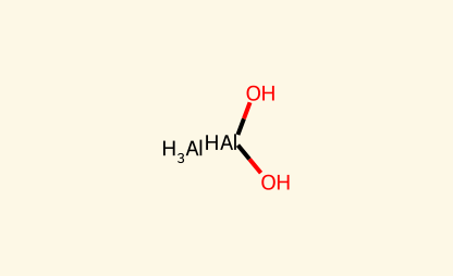 [AlH3].[OH][AlH][OH]